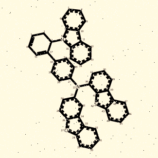 C1=CCC(n2c3ccccc3c3ccccc32)C(c2ccc(N(c3ccc4oc5ccccc5c4c3)c3cccc4c3sc3ccccc34)cc2)=C1